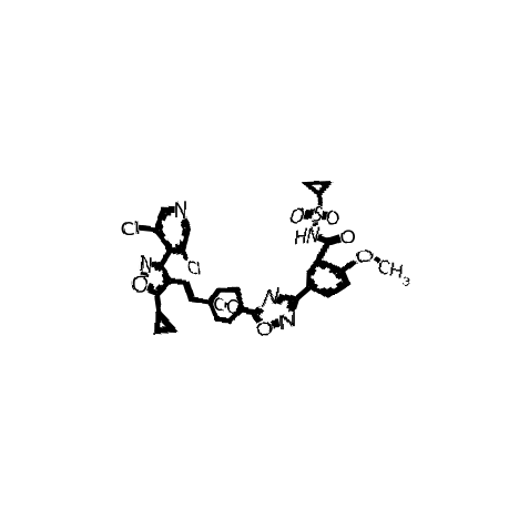 COc1ccc(-c2noc(C34CCC(C=Cc5c(-c6c(Cl)cncc6Cl)noc5C5CC5)(CC3)CC4)n2)cc1C(=O)NS(=O)(=O)C1CC1